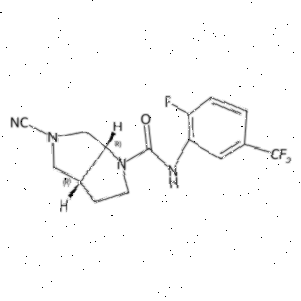 N#CN1C[C@H]2CCN(C(=O)Nc3cc(C(F)(F)F)ccc3F)[C@H]2C1